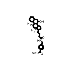 COC(=O)c1ccc(CNC(=O)CCCC2CCC3C4C(O)CC5CCCCC5(C)C4CCC23C)cc1